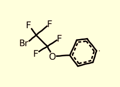 FC(F)(Br)C(F)(F)Oc1cc[c]cc1